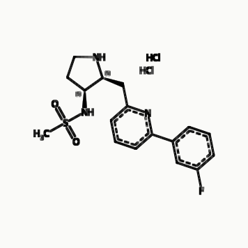 CS(=O)(=O)N[C@H]1CCN[C@H]1Cc1cccc(-c2cccc(F)c2)n1.Cl.Cl